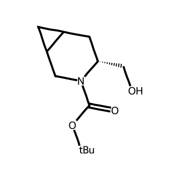 CC(C)(C)OC(=O)N1CC2CC2C[C@@H]1CO